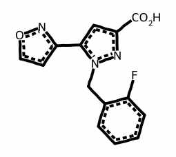 O=C(O)c1cc(-c2ccon2)n(Cc2ccccc2F)n1